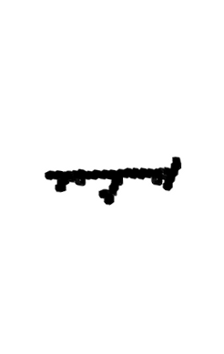 CCCCC(CCCC)COCC(=O)CCCCCCCCCC(CCCCCCCCCC(=O)COCC(CCCC)CCCC)OCCCCN(CC)CC